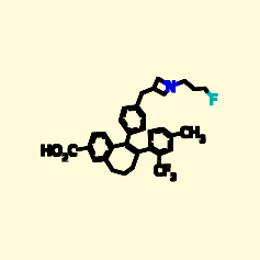 Cc1ccc(C2=C(c3ccc(CC4CN(CCCF)C4)cc3)c3ccc(C(=O)O)cc3CCC2)c(C(F)(F)F)c1